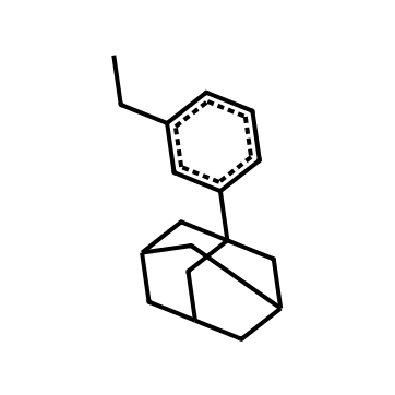 CCc1cccc(C23CC4CC(CC(C4)C2)C3)c1